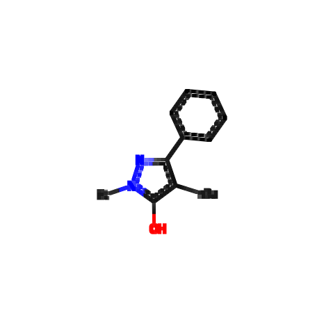 CCCCc1c(-c2ccccc2)nn(CC)c1O